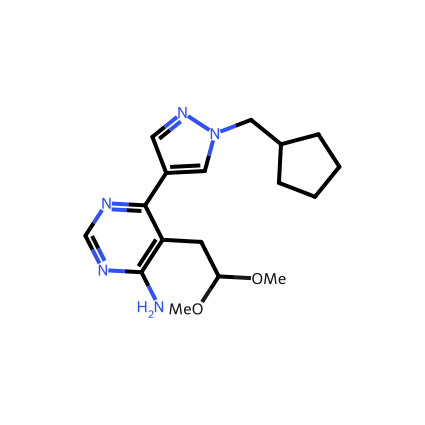 COC(Cc1c(N)ncnc1-c1cnn(CC2CCCC2)c1)OC